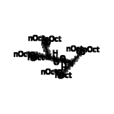 CCCCCCCCC(CCCCCCCC)OC(=O)CCCCCCCN(CCCCCCCC(=O)OC(CCCCCCCC)CCCCCCCC)CCCNC(=O)CCC(=O)NCCCN(CCCCCCC(C)(C)C(=O)OC(CCCCCCCC)CCCCCCCC)CCCCCCC(C)(C)C(=O)OC(CCCCCCCC)CCCCCCCC